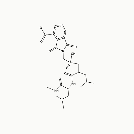 CNC(=O)C(CC(C)C)NC(=O)C(CC(C)C)CP(=O)(O)CN1C(=O)c2cccc([N+](=O)[O-])c2C1=O